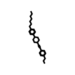 CCCCCCCc1ccc(C2CCC(C#Cc3ccc(CCC)cc3)CC2)cc1